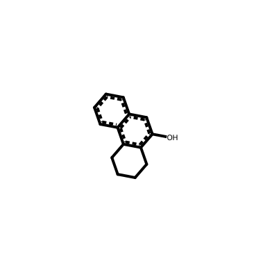 Oc1cc2ccccc2c2c1CCCC2